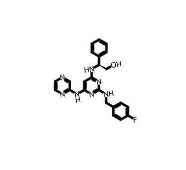 OC[C@@H](Nc1cc(Nc2cnccn2)nc(NCc2ccc(F)cc2)n1)c1ccccc1